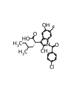 CCC(C)C[C@H](C(=O)O)c1c(C)n(C(=O)c2ccc(Cl)cc2)c2cc(F)c(O)cc12